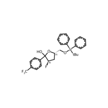 CC(C)(C)[Si](OC[C@@H]1C[C@@H](F)C(O)(c2ccc(C(F)(F)F)cc2)O1)(c1ccccc1)c1ccccc1